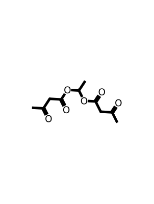 C[C](OC(=O)CC(C)=O)OC(=O)CC(C)=O